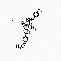 COc1ccc(-c2nc(CS(=O)(=O)CC(=O)NCc3ccc(F)cc3)c(C)o2)cc1